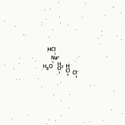 Cl.Cl.O.O.[Cl-].[Na+]